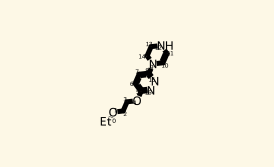 CCOCCOc1ccc(N2C=CNCC2)nn1